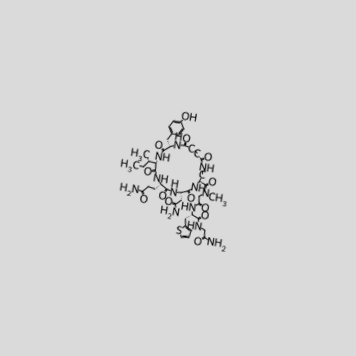 CC[C@H](C)[C@@H]1NC(=O)[C@H](Cc2ccc(O)cc2)NC(=O)CCC(=O)NC[C@@H](C(=O)N(C)CC(=O)N[C@@H](Cc2cccs2)C(=O)NCC(N)=O)NC(=O)[C@H](CC(N)=O)NC(=O)[C@H](CCC(N)=O)NC1=O